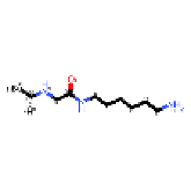 [2H][C@H](CCCC)NCC(=O)NCCCCCCN